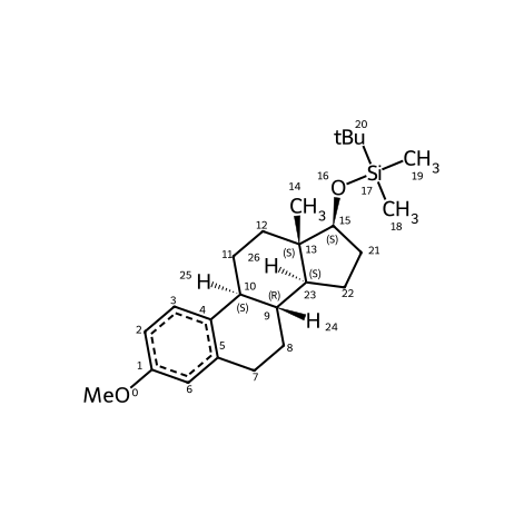 COc1ccc2c(c1)CC[C@@H]1[C@@H]2CC[C@]2(C)[C@@H](O[Si](C)(C)C(C)(C)C)CC[C@@H]12